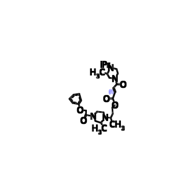 CC(C)N1CCN(C(=O)/C=C/C(=O)OCCC(C)N2CCN(C(=O)COc3ccccc3)CC2C)CC1C